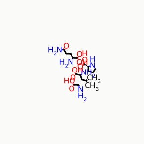 CC(C)C[C@H](N)C(=O)O.NC(=O)CC[C@H](N)C(=O)O.NCC(=O)O.O=C(O)[C@@H]1CCCN1